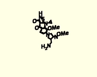 CO/N=C1\CN(c2ccc3c(=O)c4c(=O)[nH]sc4n(C4CC4)c3c2OC)CC1CN